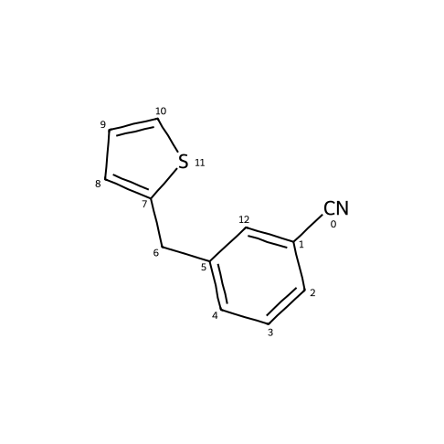 N#Cc1cccc(Cc2cccs2)c1